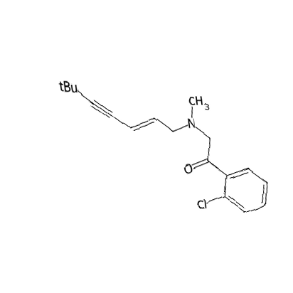 CN(CC=CC#CC(C)(C)C)CC(=O)c1ccccc1Cl